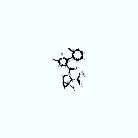 Cc1nc(C(=O)N2CC3C[C@@H]3[C@H]2C(N)=O)c(-c2ccccc2C)s1